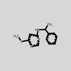 CSc1cc(NC(C)c2ccccc2)ncn1